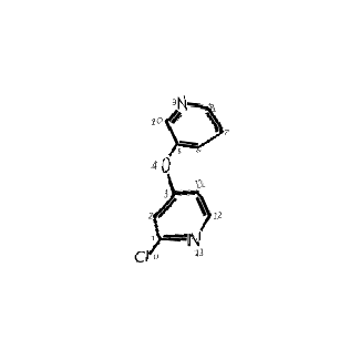 Clc1[c]c(Oc2cccnc2)ccn1